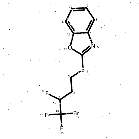 FC(CCSc1nc2ccccc2o1)C(F)(F)Br